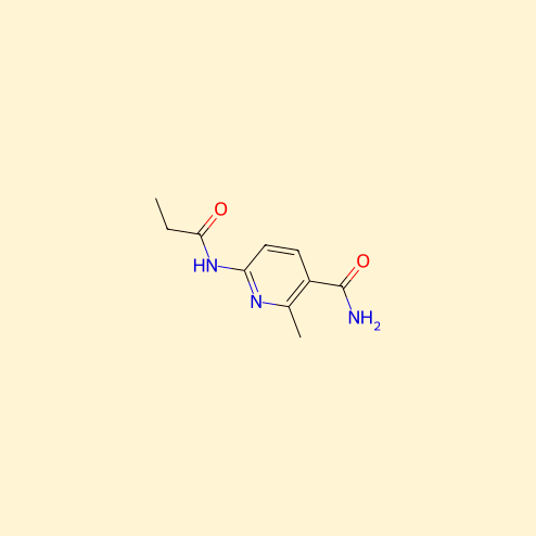 CCC(=O)Nc1ccc(C(N)=O)c(C)n1